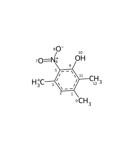 Cc1cc(C)c([N+](=O)[O-])c(O)c1C